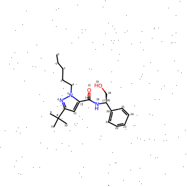 CCCCCn1nc(C(C)(C)C)cc1C(=O)N[C@@H](CO)c1ccccc1